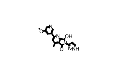 COc1cncc(-c2cc(C)c3c(n2)C(O)N(c2cc[nH]n2)C3=O)c1